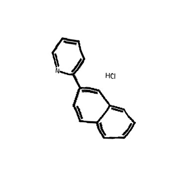 Cl.c1ccc(-c2ccc3ccccc3c2)nc1